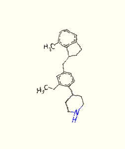 CCc1cc(CC2CCc3cccc(C)c32)ccc1C1CCNCC1